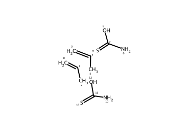 C=CC.C=CC.NC(O)=S.NC(O)=S